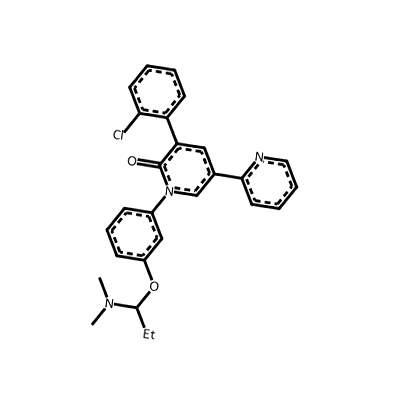 CCC(Oc1cccc(-n2cc(-c3ccccn3)cc(-c3ccccc3Cl)c2=O)c1)N(C)C